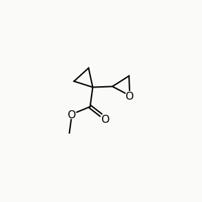 COC(=O)C1(C2CO2)CC1